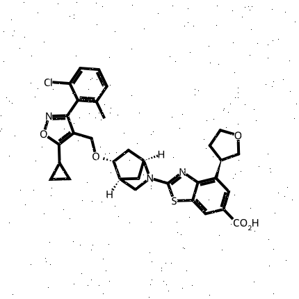 Cc1cccc(Cl)c1-c1noc(C2CC2)c1CO[C@@H]1C[C@@H]2C[C@H]1CN2c1nc2c([C@H]3CCOC3)cc(C(=O)O)cc2s1